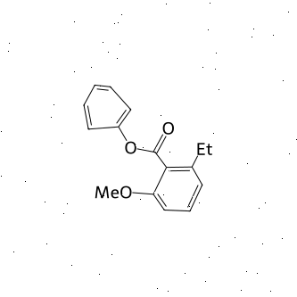 CCc1cccc(OC)c1C(=O)Oc1ccccc1